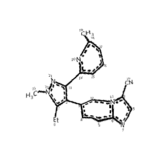 CCc1c(-c2ccc3ncc(C#N)n3c2)c(-c2cccc(C)n2)nn1C